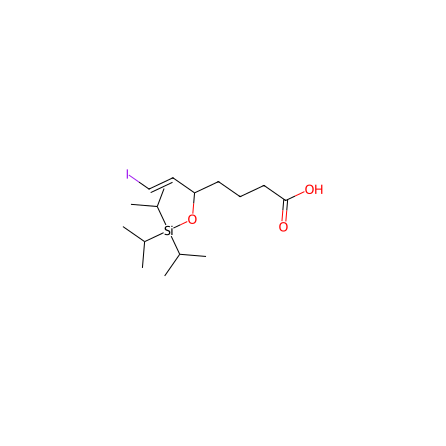 CC(C)[Si](OC(/C=C/I)CCCC(=O)O)(C(C)C)C(C)C